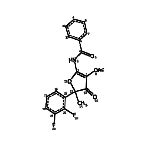 CC(=O)OC1=C(NC(=O)c2ccccc2)OC(C)(c2cccc(F)c2F)C1=O